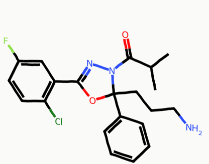 CC(C)C(=O)N1N=C(c2cc(F)ccc2Cl)OC1(CCCN)c1ccccc1